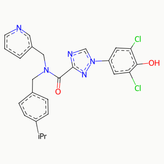 CC(C)c1ccc(CN(Cc2cccnc2)C(=O)c2ncn(-c3cc(Cl)c(O)c(Cl)c3)n2)cc1